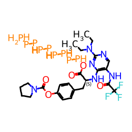 CCN(CC)c1ncc(NC(=O)C(F)(F)F)c(N[C@@H](Cc2ccc(OC(=O)N3CCCC3)cc2)C(=O)OPPPPPPPPP)n1